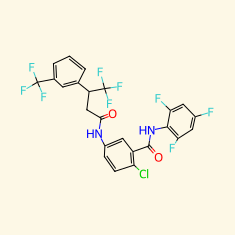 O=C(CC(c1cccc(C(F)(F)F)c1)C(F)(F)F)Nc1ccc(Cl)c(C(=O)Nc2c(F)cc(F)cc2F)c1